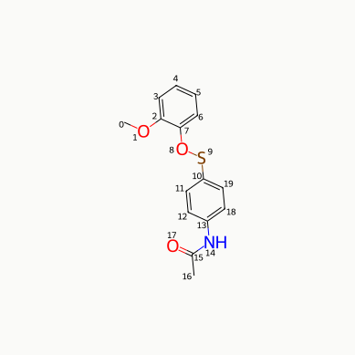 COc1ccccc1OSc1ccc(NC(C)=O)cc1